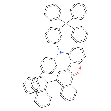 c1ccc(-c2ccc(N(c3cccc4c3-c3ccccc3C43c4ccccc4-c4ccccc43)c3cccc4oc5c6ccccc6c(-c6cccc7ccccc67)cc5c34)cc2)cc1